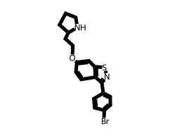 Brc1ccc(-c2nsc3cc(OCCC4CCCN4)ccc23)cc1